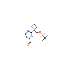 CC(C)(C)[Si](C)(C)OCC1(c2nccc(C=O)n2)CCC1